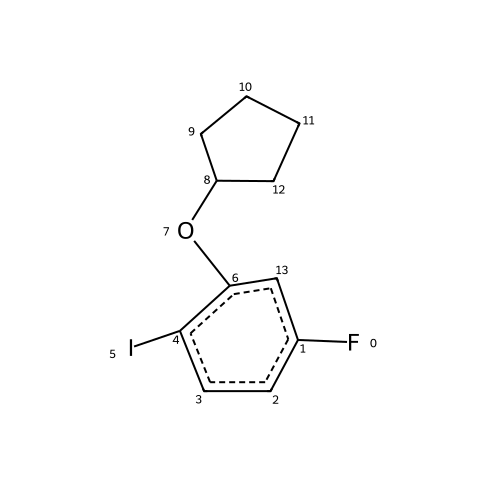 Fc1ccc(I)c(OC2CCCC2)c1